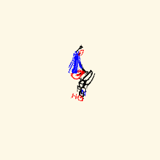 C[C@@]1(O)CC[C@@H]2[C@H]3CC[C@]4(C)[C@@H](C(=O)Cn5nnn(CC6CC6)c5=O)CC[C@H]4[C@@H]3CCN2C1